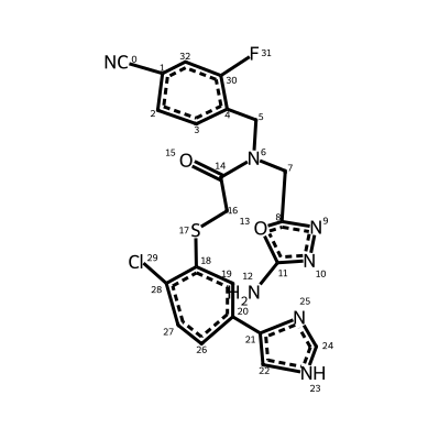 N#Cc1ccc(CN(Cc2nnc(N)o2)C(=O)CSc2cc(-c3c[nH]cn3)ccc2Cl)c(F)c1